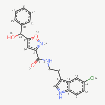 O=C(NCCc1c[nH]c2ccc(Cl)cc12)c1cc(C(O)c2ccccc2)on1